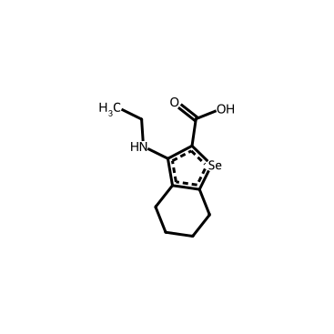 CCNc1c(C(=O)O)[se]c2c1CCCC2